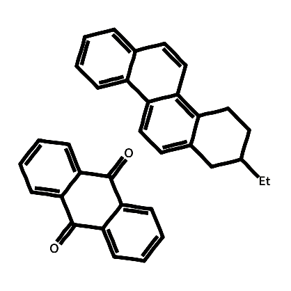 CCC1CCc2c(ccc3c2ccc2ccccc23)C1.O=C1c2ccccc2C(=O)c2ccccc21